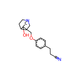 N#CCCc1ccc(OCC2(O)CN3CCC2CC3)cc1